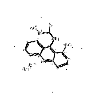 CCCNC(CC)Nc1c2ccccc2nc2cccc([N+](=O)[O-])c12.Cl.Cl